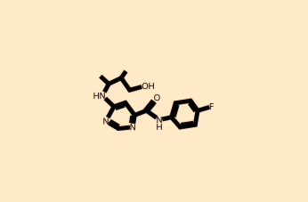 CC(CO)C(C)Nc1cc(C(=O)Nc2ccc(F)cc2)ncn1